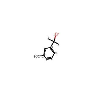 CC(C)(Br)c1cccc(C(F)(F)F)c1